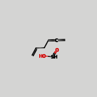 C=C=CCC=C.O=[SiH]O